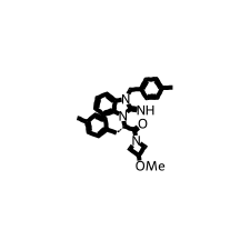 COC1CN(C(=O)[C@H](Cc2ccc(C)cc2)n2c(=N)n(Cc3ccc(C)cc3)c3ccccc32)C1